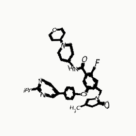 CC1CC(=O)N(Cc2cc(F)c(C(=O)NC3CCN(C4CCOCC4)CC3)cc2Oc2ccc(-c3cnc(C(C)C)nc3)cc2)C1